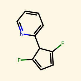 FC1=CC=C(F)C1c1ccccn1